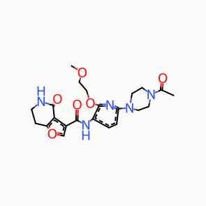 COCCOc1nc(N2CCN(C(C)=O)CC2)ccc1NC(=O)c1coc2c1C(=O)NCC2